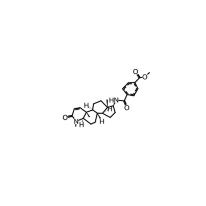 COC(=O)c1ccc(C(=O)N[C@H]2CC[C@H]3[C@@H]4CC[C@H]5N(C)C(=O)C=C[C@]5(C)[C@H]4CC[C@]23C)cc1